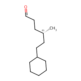 C[C@@H](CCC=O)CCC1CCCCC1